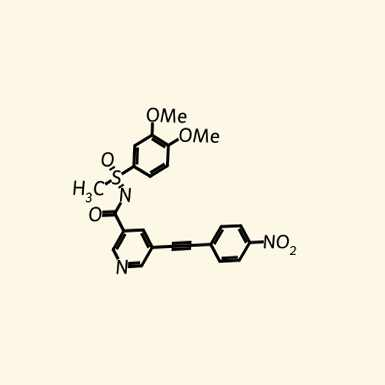 COc1ccc(S(C)(=O)=NC(=O)c2cncc(C#Cc3ccc([N+](=O)[O-])cc3)c2)cc1OC